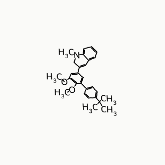 COc1cc(C2=Cc3ccccc3N(C)C2)cc(-c2ccc(C(C)(C)C)cc2)c1OC